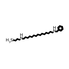 [SiH3]CCCNCCCCCCCCCCCCCCCNCc1ccccc1